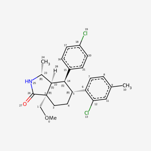 COC[C@@]12CC[C@@H](c3ccc(C)cc3Cl)[C@H](c3ccc(Cl)cc3)[C@@H]1[C@@H](C)NC2=O